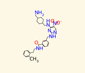 Cc1ccccc1CCNC(=O)c1cccc(CNc2ncc([N+](=O)[O-])c(NCC3CCC(CN)CC3)n2)c1